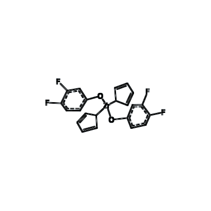 Fc1ccc([O][Zr]([O]c2ccc(F)c(F)c2)([CH]2C=CC=C2)[CH]2C=CC=C2)cc1F